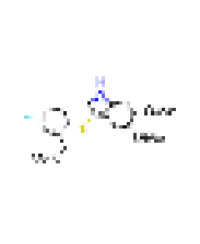 CNCc1cc(F)ccc1Sc1c[nH]c2cc(OC)c(OC)cc12